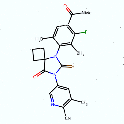 Bc1cc(C(=O)NC)c(F)c(B)c1N1C(=S)N(c2cnc(C#N)c(C(F)(F)F)c2)C(=O)C12CCC2